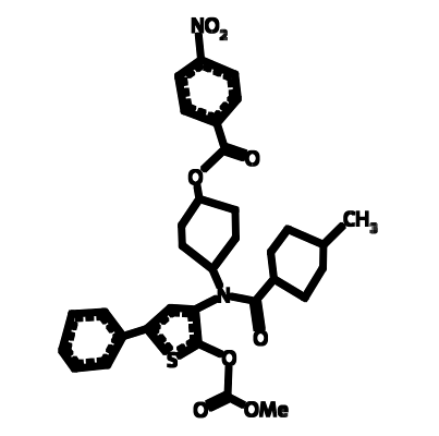 COC(=O)Oc1sc(-c2ccccc2)cc1N(C(=O)C1CCC(C)CC1)C1CCC(OC(=O)c2ccc([N+](=O)[O-])cc2)CC1